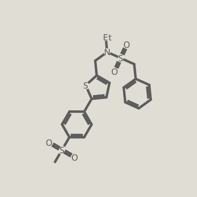 CCN(Cc1ccc(-c2ccc(S(C)(=O)=O)cc2)s1)S(=O)(=O)Cc1ccccc1